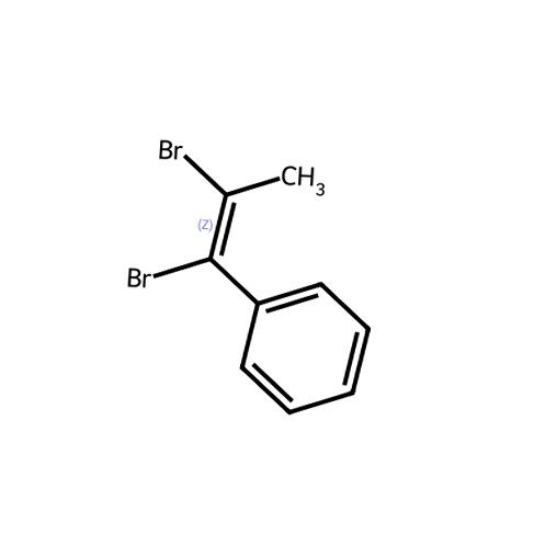 C/C(Br)=C(/Br)c1ccccc1